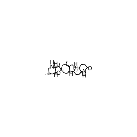 CC1=C2C[C@H]3C(CC[C@H]4NC(=O)CC[C@@]43C)[C@@H]2CC[C@@]2(C1)O[C@@H]1C[C@H](C)CN[C@H]1[C@H]2C